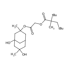 CC(C)(C)CC(C)(C(=O)OCC(=O)OC1(C)CC2CC(C)(O)CC(O)(C2)C1)C(C)(C)C